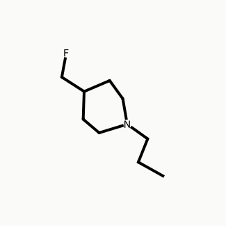 CCCN1CCC(CF)CC1